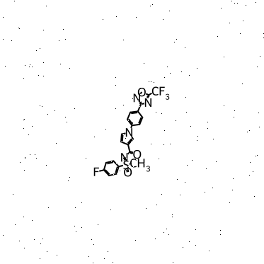 CS(=O)(=NC(=O)c1ccn(-c2ccc(-c3noc(C(F)(F)F)n3)cc2)c1)c1ccc(F)cc1